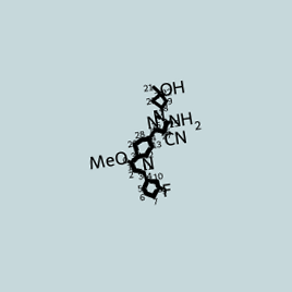 COc1cc(-c2cccc(F)c2)nc2cc(-c3nn(C4CC(C)(O)C4)c(N)c3C#N)ccc12